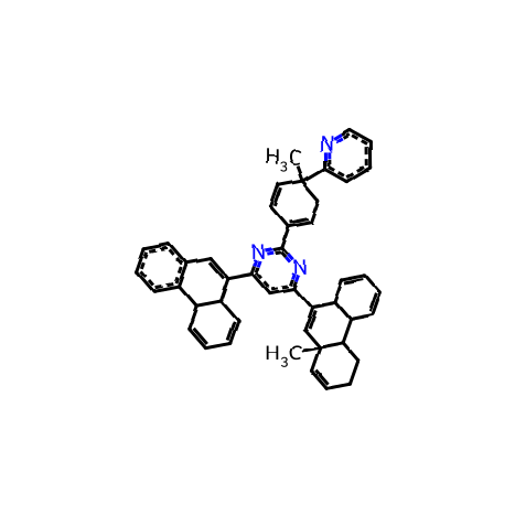 CC1(c2ccccn2)C=CC(c2nc(C3=Cc4ccccc4C4C=CC=CC34)cc(C3=CC4(C)C=CCCC4C4C=CC=CC34)n2)=CC1